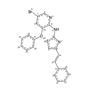 Brc1cnc(Nc2nc(C=Cc3ccccc3)cs2)c(Oc2ccccc2)c1